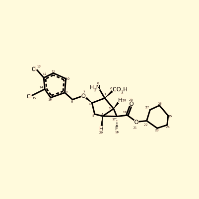 N[C@]1(C(=O)O)[C@H]2[C@@H](C[C@H]1OCc1ccc(Cl)c(Cl)c1)[C@]2(F)C(=O)OC1CCCCC1